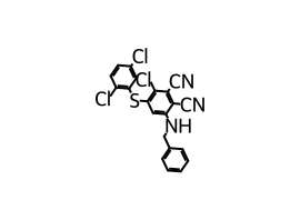 N#Cc1c(NCc2ccccc2)cc(Sc2cc(Cl)ccc2Cl)c(Cl)c1C#N